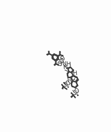 CC(C)c1cc(C(C)C)c(S(=O)(=O)NN=C2CC[C@H]3C4=CC=C5C[C@@H](O[Si](C)(C)C(C)(C)C)C[C@H](O[Si](C)(C)C(C)(C)C)[C@]5(C)[C@H]4CC[C@]23C)c(C(C)C)c1